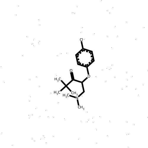 CN(C)CC(Oc1ccc(Cl)cc1)C(=O)C(C)(C)C